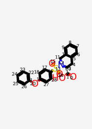 O=C(O)[C@H]1Cc2ccccc2CN1S(=O)(=O)c1ccc(Oc2ccccc2)cc1